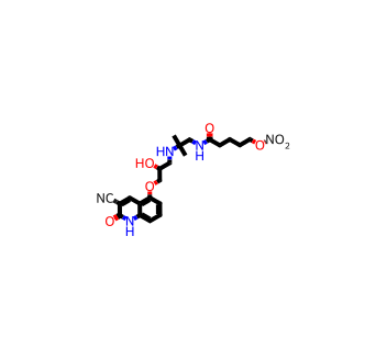 CC(C)(CNC(=O)CCCCO[N+](=O)[O-])NCC(O)COc1cccc2[nH]c(=O)c(C#N)cc12